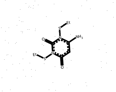 CCSn1c(N)cc(=O)n(SCC)c1=O